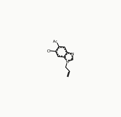 C=CCn1cnc2cc(C(C)=O)c(Cl)cc21